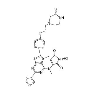 Cc1c(-c2ccc(OCCN3CCNC(=O)C3)cc2)sc2nc(-c3cccs3)nc(N(C)C3=CC(=O)NC3=O)c12.Cl